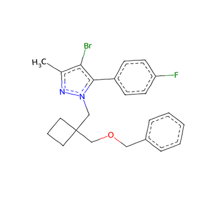 Cc1nn(CC2(COCc3ccccc3)CCC2)c(-c2ccc(F)cc2)c1Br